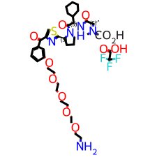 C[C@@H](C(=O)N[C@H](C(=O)N1CCC[C@H]1c1nc(C(=O)c2cccc(OCCOCCOCCOCCOCCN)c2)cs1)C1CCCCC1)N(C)C(=O)O.O=C(O)C(F)(F)F